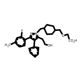 Cc1ccc(-c2nn(CC3CCC(COCC(=O)O)CC3)c(CCO)c2-c2ccccc2)c(F)c1